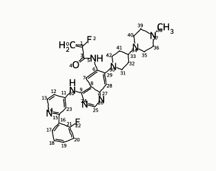 C=C(F)C(=O)Nc1cc2c(Nc3ccnc(-c4ccccc4F)c3)ncnc2cc1N1CCC(N2CCN(C)CC2)CC1